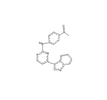 CC(=O)c1ccc(Nc2nccc(-c3cnc4ccccn34)n2)cc1